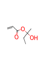 C=CC(=O)OC(C)(O)CC